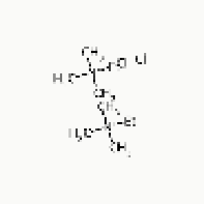 CC[N+](C)(C)C.CC[N+](C)(C)C.[Cl-].[Cl-]